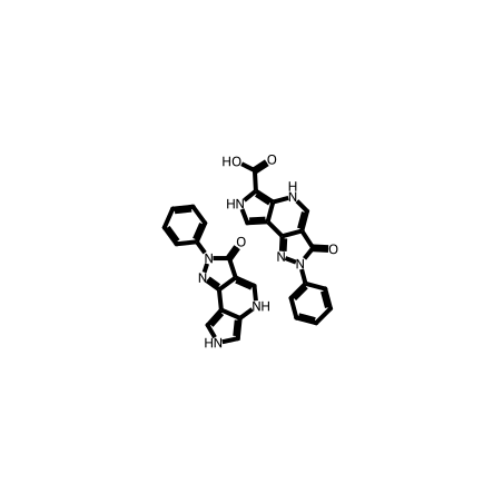 O=C(O)c1[nH]cc2c3nn(-c4ccccc4)c(=O)c-3c[nH]c12.O=c1c2c[nH]c3c[nH]cc3c-2nn1-c1ccccc1